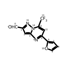 O=[C]c1cc2nc(-c3ccco3)cc(C(F)(F)F)n2n1